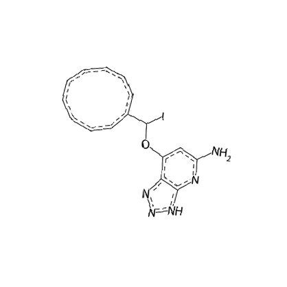 Nc1cc(OC(I)c2ccccccccc2)c2nn[nH]c2n1